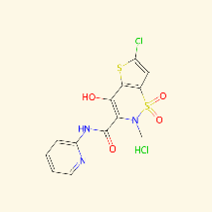 CN1C(C(=O)Nc2ccccn2)=C(O)c2sc(Cl)cc2S1(=O)=O.Cl